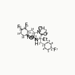 CCC1(Cc2ccc(F)cc2)NC(=O)C(Cc2c([N+](=O)[O-])ccc(F)c2F)N(C)C1=O